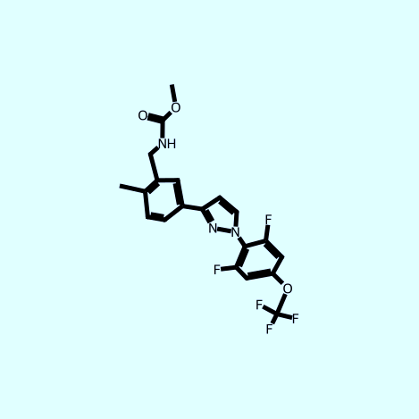 COC(=O)NCc1cc(-c2ccn(-c3c(F)cc(OC(F)(F)F)cc3F)n2)ccc1C